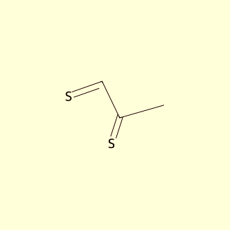 CC(=S)C=S